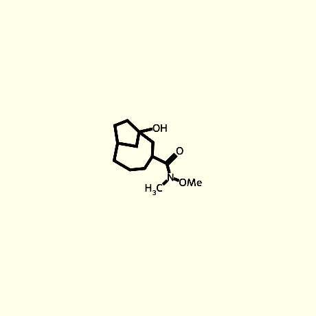 CON(C)C(=O)C1CCCC2CCC(O)(C2)C1